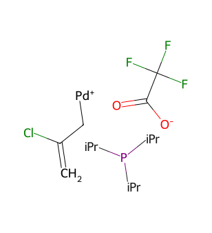 C=C(Cl)[CH2][Pd+].CC(C)P(C(C)C)C(C)C.O=C([O-])C(F)(F)F